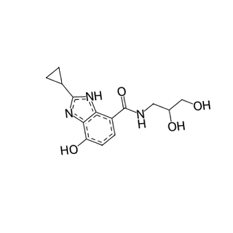 O=C(NCC(O)CO)c1ccc(O)c2nc(C3CC3)[nH]c12